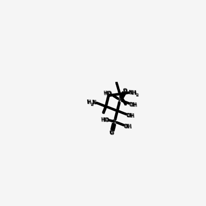 CC(C)(N)CC(C)(N)C(O)(P(=O)(O)O)P(=O)(O)O